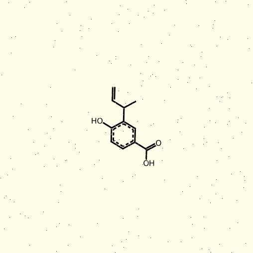 C=CC(C)c1cc(C(=O)O)ccc1O